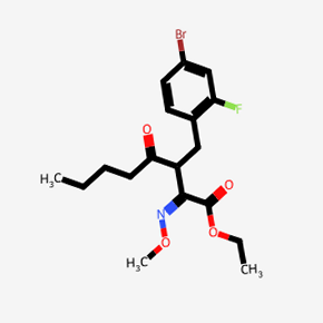 CCCCC(=O)C(Cc1ccc(Br)cc1F)/C(=N/OC)C(=O)OCC